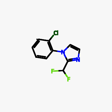 FC(F)c1nccn1-c1ccc[c]c1Cl